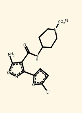 CCOC(=O)N1CCC(NC(=O)c2c(-c3ccc(Cl)o3)noc2N)CC1